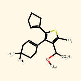 Cc1sc(C2=CCCC2)c(C2=CCC(C)(C)CC2)c1C(OC(C)(C)C)C(=O)O